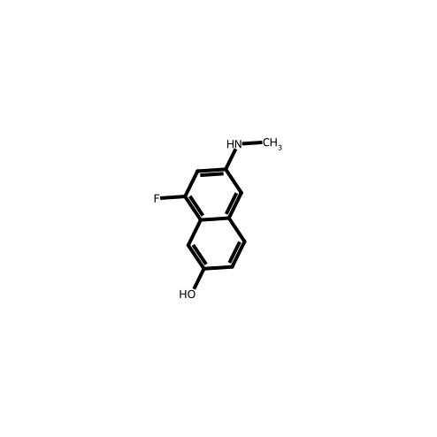 CNc1cc(F)c2cc(O)ccc2c1